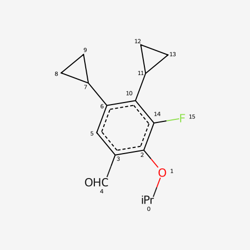 CC(C)Oc1c(C=O)cc(C2CC2)c(C2CC2)c1F